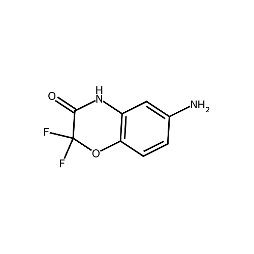 Nc1ccc2c(c1)NC(=O)C(F)(F)O2